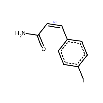 NC(=O)/C=C\c1ccc(I)cc1